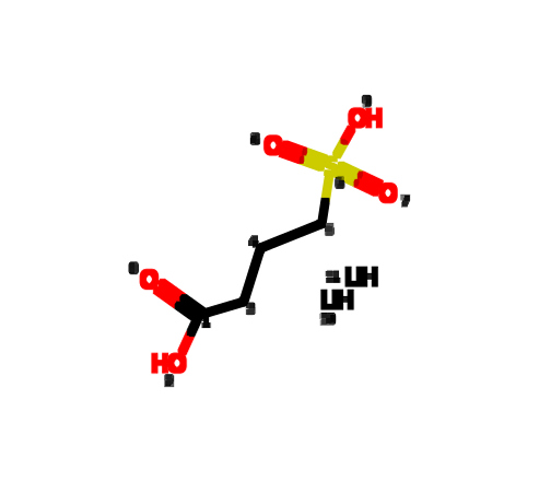 O=C(O)CCCS(=O)(=O)O.[LiH].[LiH]